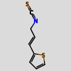 S=C=NCC=Cc1cccs1